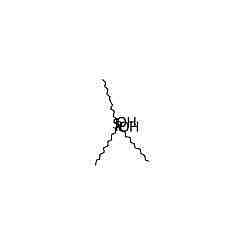 CCCCCCCCCCCCSP(O)(O)(CCCCCCCCCCCC)CCCCCCCCCCCC